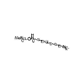 CNC(=O)OCc1ccc(NC(=O)CCOCCOCCOCCOCCOCCOCCN=[N+]=[N-])cc1